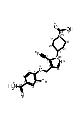 N#Cc1c(COc2ccc(C(N)=O)cc2F)cnn1C1CCN(C(=O)O)CC1